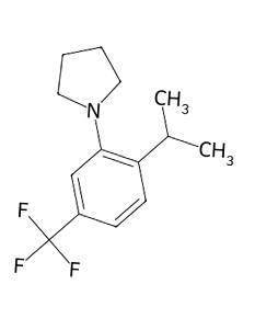 CC(C)c1ccc(C(F)(F)F)cc1N1CCCC1